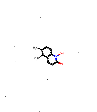 Cc1ccc2c(ccc(=O)n2O)c1[N+](=O)[O-]